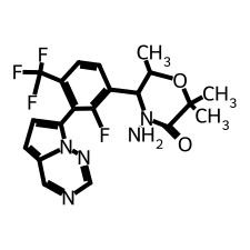 CC1OC(C)(C)C(=O)N(N)C1c1ccc(C(F)(F)F)c(-c2ccc3cncnn23)c1F